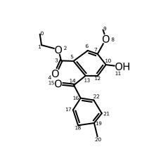 CCOC(=O)c1cc(OC)c(O)cc1C(=O)c1ccc(C)cc1